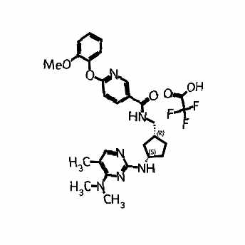 COc1ccccc1Oc1ccc(C(=O)NC[C@@H]2CC[C@H](Nc3ncc(C)c(N(C)C)n3)C2)cn1.O=C(O)C(F)(F)F